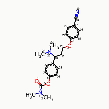 CN(C)C(=O)Oc1ccc(C(CCOc2ccc(C#N)cc2)N(C)C)cc1